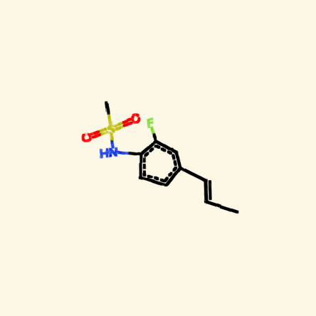 C/C=C/c1ccc(NS(C)(=O)=O)c(F)c1